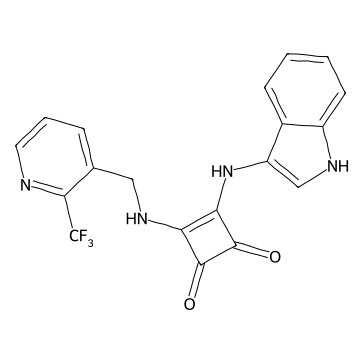 O=c1c(NCc2cccnc2C(F)(F)F)c(Nc2c[nH]c3ccccc23)c1=O